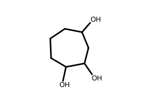 OC1CCCC(O)C(O)C1